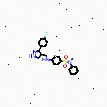 CN(c1ccccc1)S(=O)(=O)c1ccc(NCC2CNN=C2c2ccc(F)cc2)cc1